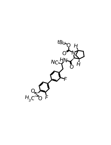 CC(C)(C)OC(=O)N1[C@@H]2CC[C@@H](C2)[C@H]1C(=O)N[C@H](C#N)Cc1ccc(-c2ccc(S(C)(=O)=O)c(F)c2)cc1F